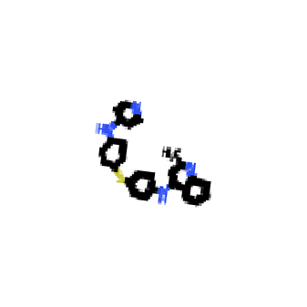 Cc1cc(Nc2ccc(SC3C=CC(Nc4ccncc4)CC3)cc2)c2ccccc2n1